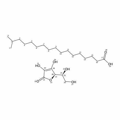 CC(C)CCCCCCCCCCCCCCC(=O)O.O=C1O[C@H]([C@@H](O)CO)C(O)=C1O